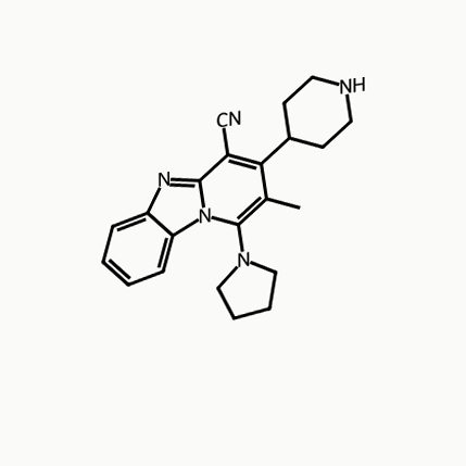 Cc1c(C2CCNCC2)c(C#N)c2nc3ccccc3n2c1N1CCCC1